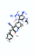 COc1nc2ccc(C(N=O)(/C(=C/N)N(C)N)c3cnc(C)n3C)cc2c(C#N)c1Cc1ccc(F)cc1